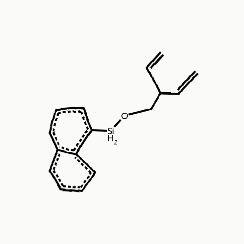 C=CC(C=C)CO[SiH2]c1cccc2ccccc12